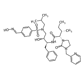 CC[C@H](C)[C@@H](C(=O)N[C@@H](Cc1ccccc1)[C@@H](O)CN(CC(C)C)S(=O)(=O)c1ccc(C=NO)cc1)N1CCN(Cc2ccccn2)C1=O